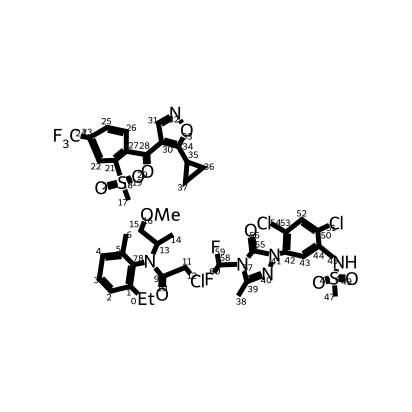 CCc1cccc(C)c1N(C(=O)CCl)C(C)COC.CS(=O)(=O)c1cc(C(F)(F)F)ccc1C(=O)c1cnoc1C1CC1.Cc1nn(-c2cc(NS(C)(=O)=O)c(Cl)cc2Cl)c(=O)n1C(F)F